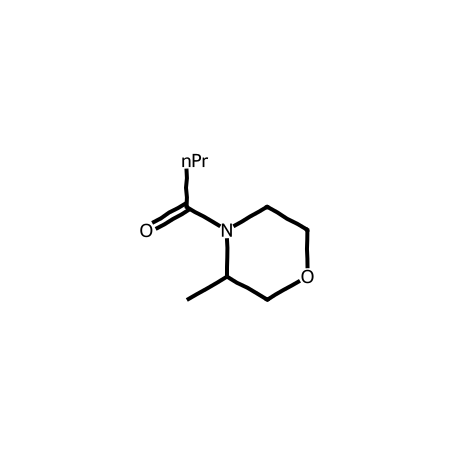 CCCC(=O)N1CCOCC1C